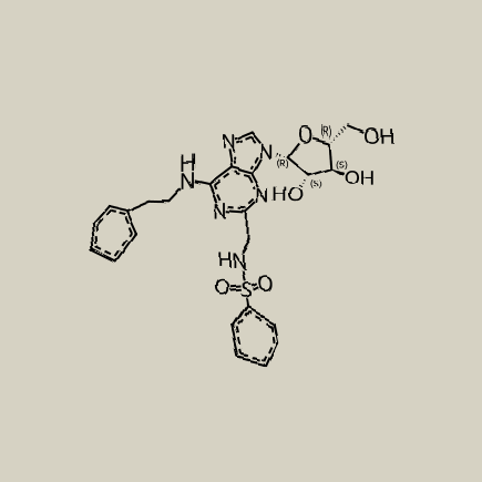 O=S(=O)(NCc1nc(NCCc2ccccc2)c2ncn([C@@H]3O[C@H](CO)[C@@H](O)[C@@H]3O)c2n1)c1ccccc1